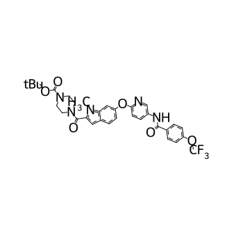 Cn1c(C(=O)N2CCN(C(=O)OC(C)(C)C)CC2)cc2ccc(Oc3ccc(NC(=O)c4ccc(OC(F)(F)F)cc4)cn3)cc21